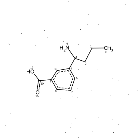 CCCC(N)c1cccc(C(=O)O)c1